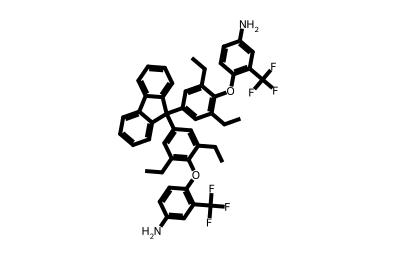 CCc1cc(C2(c3cc(CC)c(Oc4ccc(N)cc4C(F)(F)F)c(CC)c3)c3ccccc3-c3ccccc32)cc(CC)c1Oc1ccc(N)cc1C(F)(F)F